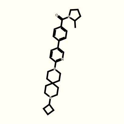 CC1CCCN1C(=O)c1ccc(-c2ccc(N3CCC4(CC3)CCN(C3CCC3)CC4)nc2)cc1